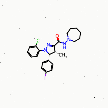 C[C@H]1C(C(=O)NN2CCCCCC2)=NN(c2ccccc2Cl)[C@H]1c1ccc(I)cc1